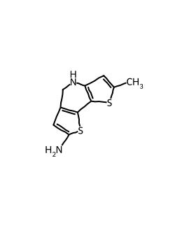 Cc1cc2c(s1)-c1sc(N)cc1CN2